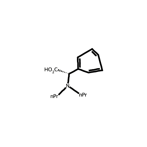 CCCN(CCC)[C@H](C(=O)O)c1ccccc1